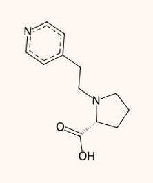 O=C(O)[C@H]1CCCN1CCc1ccncc1